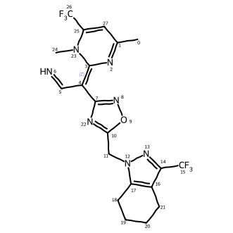 CC1=N/C(=C(/C=N)c2noc(Cn3nc(C(F)(F)F)c4c3CCCC4)n2)N(C)C(C(F)(F)F)=C1